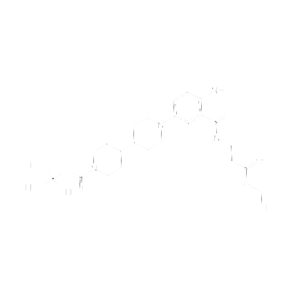 CCOC(=O)CCNC(=O)c1cc(N2CCC(C3CCN(C(=O)OC(C)(C)C)CC3)CC2)ccc1N